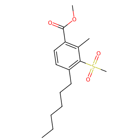 CCCCCCc1ccc(C(=O)OC)c(C)c1S(C)(=O)=O